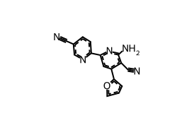 N#Cc1ccc(-c2cc(-c3ccco3)c(C#N)c(N)n2)nc1